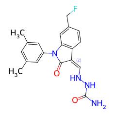 Cc1cc(C)cc(N2C(=O)/C(=C\NNC(N)=O)c3ccc(CF)cc32)c1